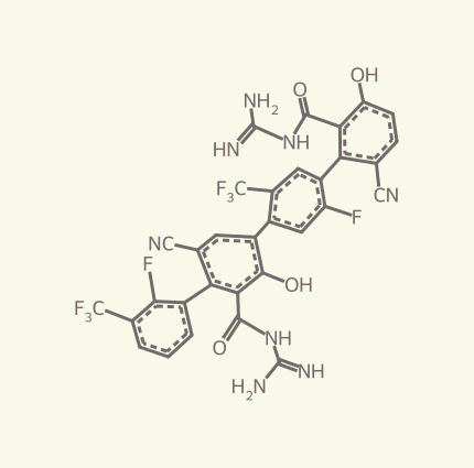 N#Cc1ccc(O)c(C(=O)NC(=N)N)c1-c1cc(C(F)(F)F)c(-c2cc(C#N)c(-c3cccc(C(F)(F)F)c3F)c(C(=O)NC(=N)N)c2O)cc1F